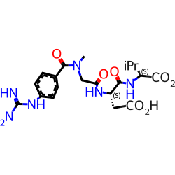 CC(C)[C@H](NC(=O)[C@H](CC(=O)O)NC(=O)CN(C)C(=O)c1ccc(NC(=N)N)cc1)C(=O)O